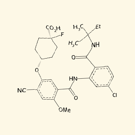 CCC(C)(C)NC(=O)c1ccc(Cl)cc1NC(=O)c1cc(O[C@H]2CC[C@@](F)(C(=O)O)CC2)c(C#N)cc1OC